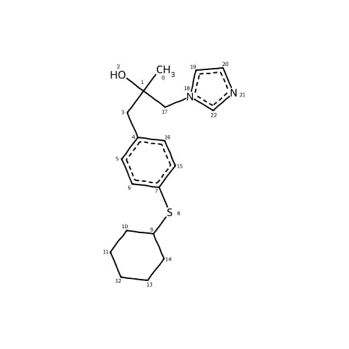 CC(O)(Cc1ccc(SC2CCCCC2)cc1)Cn1ccnc1